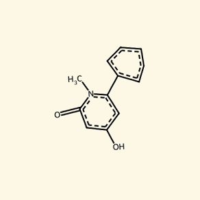 Cn1c(-c2ccccc2)cc(O)cc1=O